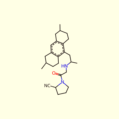 CC1CCc2c(cc3c(c2CC(C)NCC(=O)N2CCCC2C#N)CCC(C)C3)C1